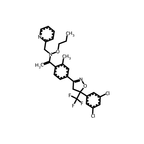 C=C(c1ccc(C2=NOC(c3cc(Cl)cc(Cl)c3)(C(F)(F)F)C2)cc1C)N(Cc1ccccn1)OCCC